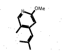 COc1cc(C=C(C)C)c(C)cn1